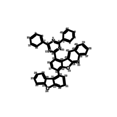 c1ccc(-c2nc(-c3ccccc3)nc(-c3ccc(-c4cccc5oc6ccccc6c45)c4oc5nc6ccccc6cc5c34)n2)cc1